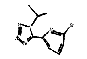 CC(C)n1nnnc1-c1cccc(Br)n1